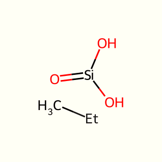 CCC.O=[Si](O)O